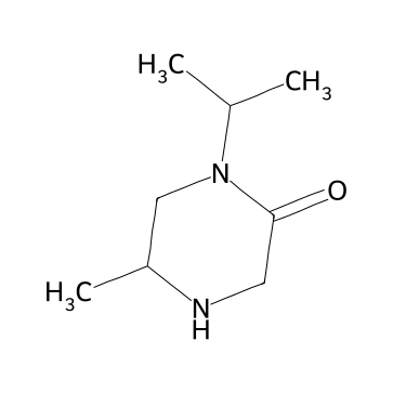 CC1CN(C(C)C)C(=O)CN1